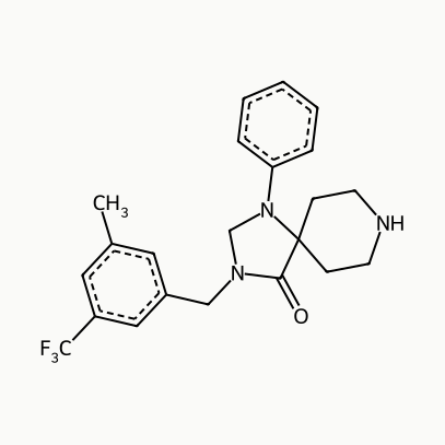 Cc1cc(CN2CN(c3ccccc3)C3(CCNCC3)C2=O)cc(C(F)(F)F)c1